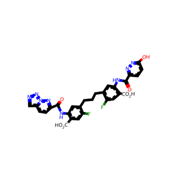 O=C(Nc1cc(CCCc2cc(NC(=O)c3ccc4cnnn4n3)c(C(=O)O)cc2F)c(F)cc1C(=O)O)c1ccc(O)nn1